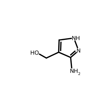 Nc1n[nH]cc1CO